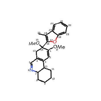 COC1=CC2=C(C=NC3CCCCC23)CC1(OC)c1oc2ccccc2c1C